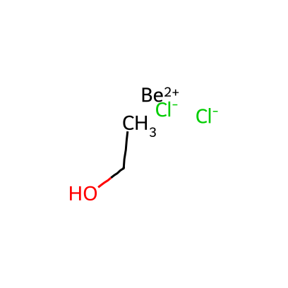 CCO.[Be+2].[Cl-].[Cl-]